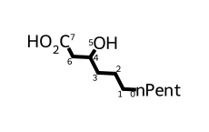 CCCCCCCCC(O)CC(=O)O